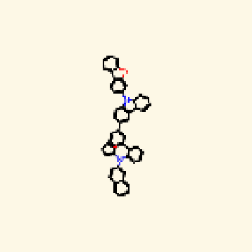 C1=CC2c3cc(-c4cccc(-c5ccccc5N(C5=CCC=C5)c5ccc6ccccc6c5)c4)ccc3N(c3ccc4c(c3)oc3ccccc34)C2C=C1